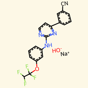 N#Cc1cccc(-c2ccnc(Nc3cccc(OC(F)(F)C(F)F)c3)n2)c1.[Na+].[OH-]